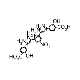 N/C(=C\N(N)c1ccc(C(=O)O)c(O)c1)c1cc([N+](=O)[O-])cc(/C(N)=C/N(N)c2ccc(C(=O)O)c(O)c2)n1